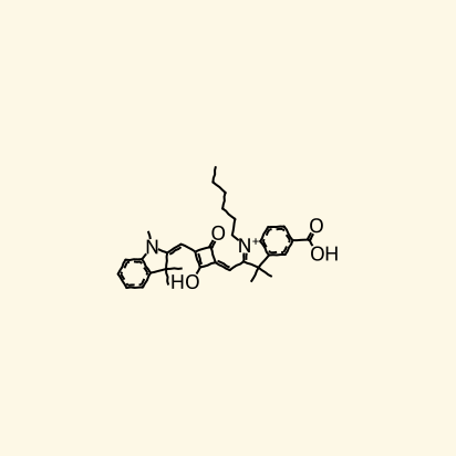 CCCCCC[N+]1=C(/C=C2\C(=O)C(/C=C3/N(C)c4ccccc4C3(C)C)=C2O)C(C)(C)c2cc(C(=O)O)ccc21